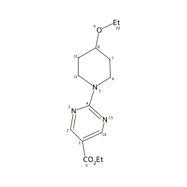 CCOC(=O)c1cnc(N2CCC(OCC)CC2)nc1